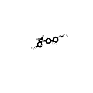 CCO[C@H]1CC[C@](C)(C2CCC(n3c(=O)[nH]c4cc(C)cnc43)CC2)CC1